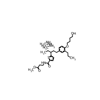 CCCc1cc(CCC(CC)c2ccc(C(=O)NCCC(=O)OC)s2)ccc1OCCCCO.CN.CN.CN